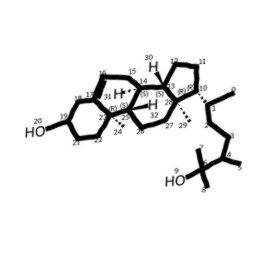 CC(CCC(C)C(C)(C)O)[C@H]1CC[C@H]2[C@@H]3CC=C4CC(O)CC[C@]4(C)[C@H]3CC[C@]12C